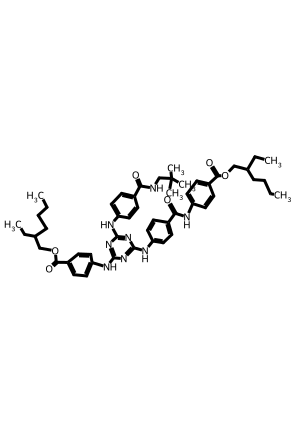 CCCCC(CC)COC(=O)c1ccc(NC(=O)c2ccc(Nc3nc(Nc4ccc(C(=O)NCC(C)(C)C)cc4)nc(Nc4ccc(C(=O)OCC(CC)CCCC)cc4)n3)cc2)cc1